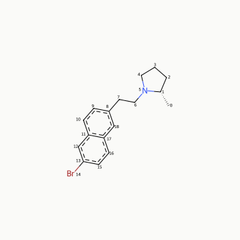 C[C@H]1CCCN1CCc1ccc2cc(Br)ccc2c1